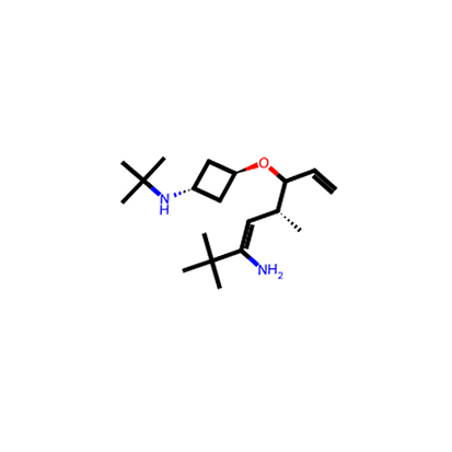 C=CC(O[C@H]1C[C@H](NC(C)(C)C)C1)[C@H](C)/C=C(\N)C(C)(C)C